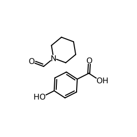 O=C(O)c1ccc(O)cc1.O=CN1CCCCC1